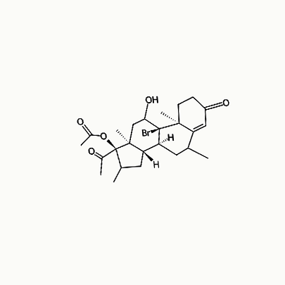 CC(=O)O[C@]1(C(C)=O)C(C)C[C@H]2[C@@H]3CC(C)C4=CC(=O)CC[C@]4(C)[C@@]3(Br)C(O)C[C@@]21C